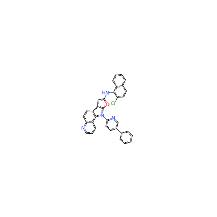 Clc1ccc2ccccc2c1Nc1cc2c3ccc4ncccc4c3n(-c3ccc(-c4ccccc4)cn3)c2o1